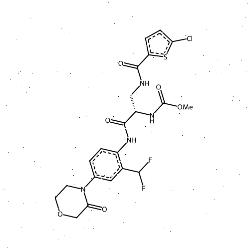 COC(=O)N[C@@H](CNC(=O)c1ccc(Cl)s1)C(=O)Nc1ccc(N2CCOCC2=O)cc1C(F)F